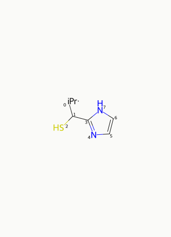 C[C](C)C(S)c1ncc[nH]1